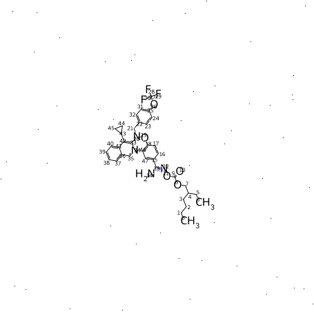 CCCCC(CC)COC(=O)O/N=C(\N)c1ccc(ON(Cc2ccc(OC(F)(F)F)cc2)c2ncc3ccccc3c2C2CC2)cc1